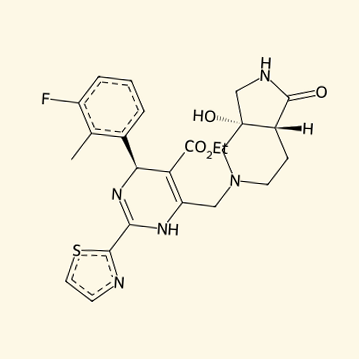 CCOC(=O)C1=C(CN2CC[C@H]3C(=O)NC[C@]3(O)C2)NC(c2nccs2)=N[C@H]1c1cccc(F)c1C